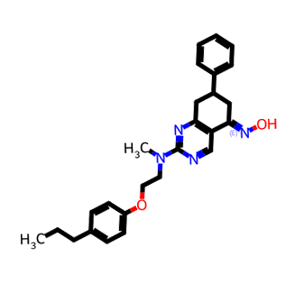 CCCc1ccc(OCCN(C)c2ncc3c(n2)CC(c2ccccc2)C/C3=N\O)cc1